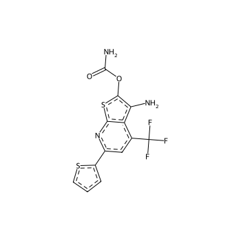 NC(=O)Oc1sc2nc(-c3cccs3)cc(C(F)(F)F)c2c1N